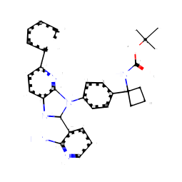 CC(C)(C)OC(=O)NC1(c2ccc(N3c4nc(-c5ccccc5)ccc4NC3c3cccnc3N)cc2)CCC1